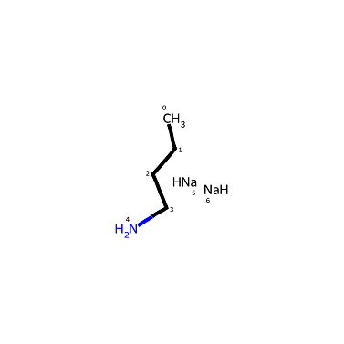 CCCCN.[NaH].[NaH]